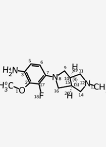 COc1c(N)ccc(N2C[C@H]3CN(C)C[C@H]3C2)c1F